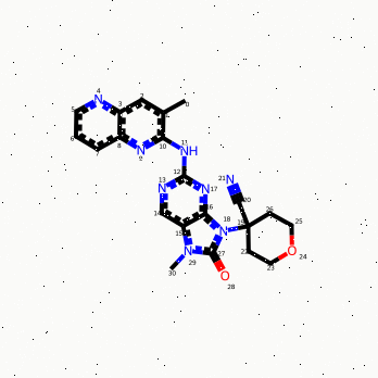 Cc1cc2ncccc2nc1Nc1ncc2c(n1)n(C1(C#N)CCOCC1)c(=O)n2C